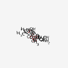 CC12CC3CC(C)(C1)CC(C14CC5CC(C1)C(c1cccc6c1C(c1ccccc1Oc1ccc(N)c(O)c1)(c1ccccc1Oc1ccc(N)c(O)c1)c1ccccc1-6)(C16CC7CC(C)(CC(C)(C7)C1)C6)C(C5)C4)(C3)C2